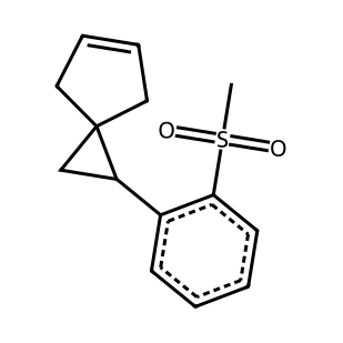 CS(=O)(=O)c1ccccc1C1CC12CC=CC2